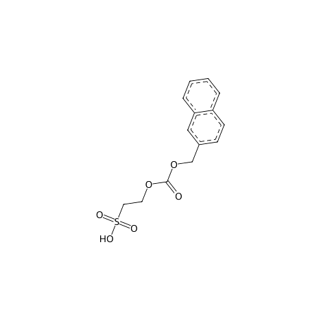 O=C(OCCS(=O)(=O)O)OCc1ccc2ccccc2c1